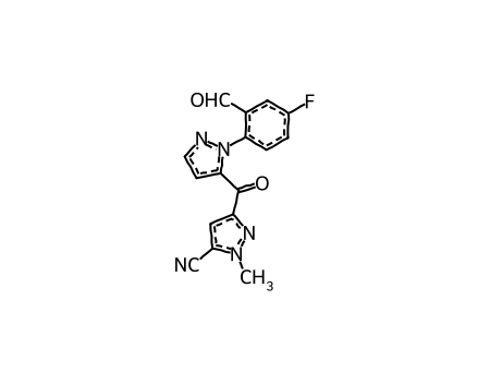 Cn1nc(C(=O)c2ccnn2-c2ccc(F)cc2C=O)cc1C#N